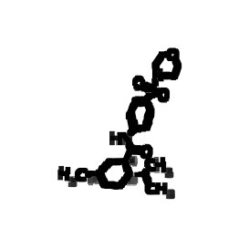 CC(C)[C@@H]1CC[C@@H](C)C[C@H]1C(=O)Nc1ccc(S(=O)(=O)N2CCOCC2)cc1